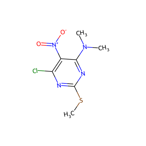 CSc1nc(Cl)c([N+](=O)[O-])c(N(C)C)n1